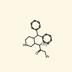 CC(C)CC(=O)C(C(=O)O)C1CNCCN1C(c1ccccc1)c1ccccc1